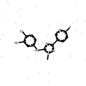 Cn1nc(-c2ccc(F)nc2)nc1Nc1ccc(Cl)c(C#N)c1